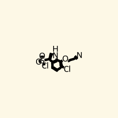 N#CCOc1c(Cl)ccc2c(S(=O)(=O)Cl)c[nH]c12